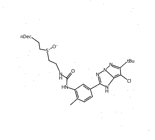 CCCCCCCCCCCC[S+]([O-])CCNC(=O)Nc1cc(-c2nn3nc(C(C)(C)C)c(Cl)c3[nH]2)ccc1C